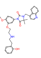 COc1ccc(N2C(=O)N(Cc3ccnc4ccccc34)C(C)(C)C2=O)cc1OCCNCCc1ccccc1O